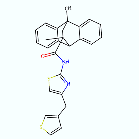 CC1(C(=O)Nc2nc(Cc3ccsc3)cs2)CC2(C#N)c3ccccc3C1c1ccccc12